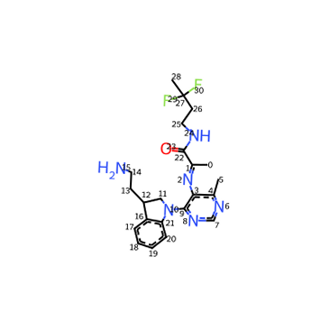 C/C(=N\c1c(C)ncnc1N1CC(CCN)c2ccccc21)C(=O)NCCC(C)(F)F